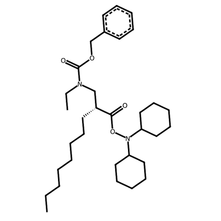 CCCCCCCC[C@H](CN(CC)C(=O)OCc1ccccc1)C(=O)ON(C1CCCCC1)C1CCCCC1